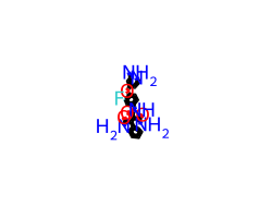 NC(=O)C(C(=O)Nc1ccc(Oc2ccnc(N)c2)c(F)c1)C(C(N)=O)c1ccccc1